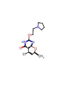 C=C1C=C(CC)c2c(nc(OCCN3CCCC3)[nH]c2=O)O1